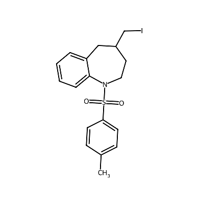 Cc1ccc(S(=O)(=O)N2CCC(CI)Cc3ccccc32)cc1